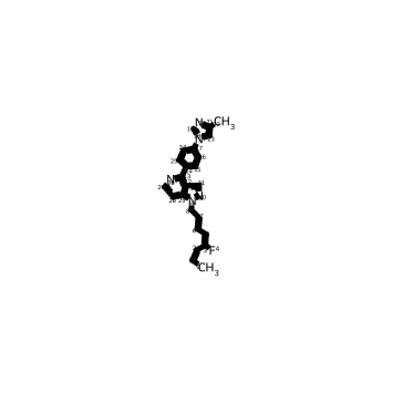 C\C=C/C(F)=C\C=C\Cn1ncc2c(-c3ccc(-n4cnc(C)c4)cc3)nccc21